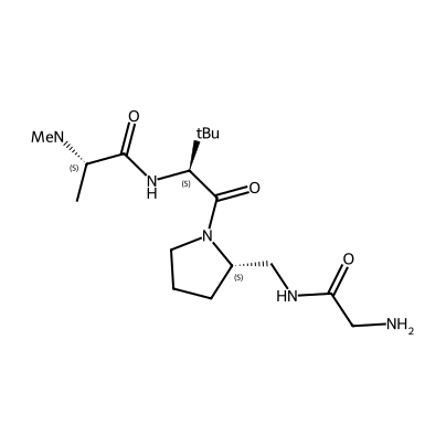 CN[C@@H](C)C(=O)N[C@H](C(=O)N1CCC[C@H]1CNC(=O)CN)C(C)(C)C